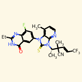 CCc1nc2c(F)cc(-n3c(=S)n([C@@H](C)C(C)(C#N)/C=C/C(F)(F)F)c4nccc(C)c43)cc2c(=O)[nH]1